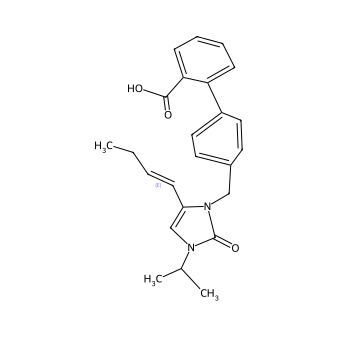 CC/C=C/c1cn(C(C)C)c(=O)n1Cc1ccc(-c2ccccc2C(=O)O)cc1